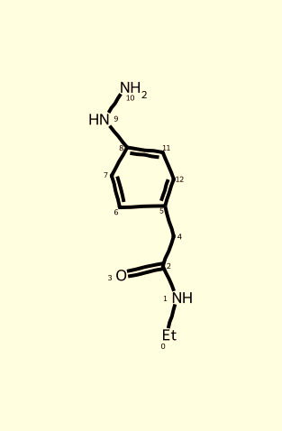 CCNC(=O)Cc1ccc(NN)cc1